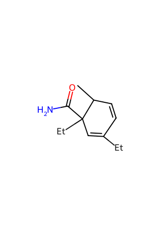 CCC1=CC(CC)(C(N)=O)C(C)C=C1